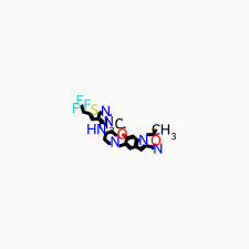 CCOc1cc2c(cc1CN1CCC(Nc3ncnc4sc(CC(F)(F)F)cc34)CC1)cc(C#N)n2CC(C)=O